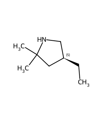 CC[C@@H]1CNC(C)(C)C1